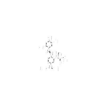 CCC(CC)(CC)C(=O)Nc1cc(N(C)C)ccc1N=Nc1cc(Cl)c(Cl)cc1Cl